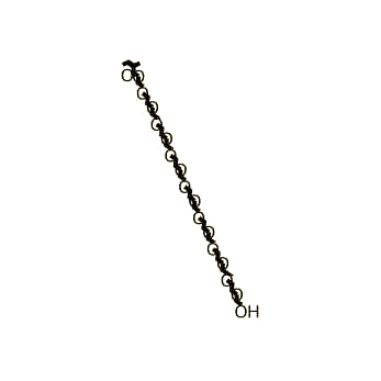 CC=C(C)C(=O)OCCOCCOCCOCCOCCOCCOCCOCCOCCOCCOCCOCCOCCOCCOCCO